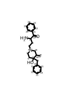 NC(CCN1CCC(O)(Cc2ccccc2)C(F)C1)C(=O)c1ccccc1